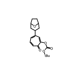 CC(C)(C)OC(=O)Oc1cc(C2CC3CCC(C2)O3)cccc1=O